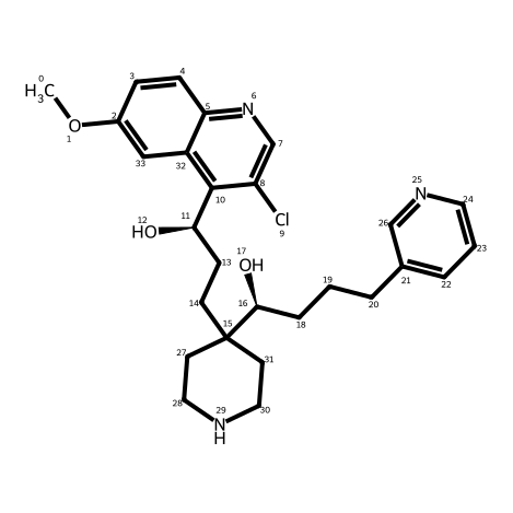 COc1ccc2ncc(Cl)c([C@H](O)CCC3([C@@H](O)CCCc4cccnc4)CCNCC3)c2c1